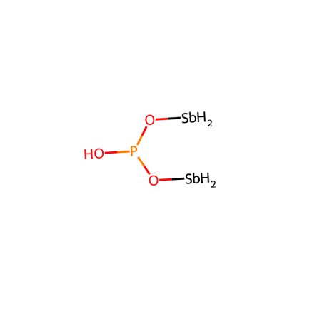 OP([O][SbH2])[O][SbH2]